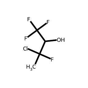 CC(F)(Cl)C(O)C(F)(F)F